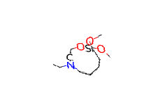 CCN1CCCC[Si](OC)(OC)OCC1